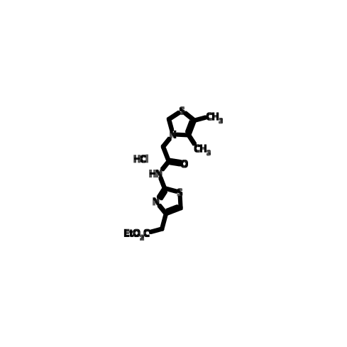 CCOC(=O)Cc1csc(NC(=O)CN2CSC(C)=C2C)n1.Cl